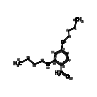 CCCCOc1ccc([PH2]=O)c(OCCCC)c1